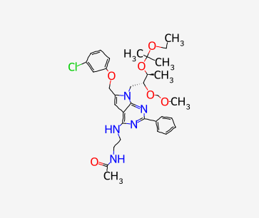 CCOC(C)(C)O[C@@H](C)[C@@H](Cn1c(COc2cccc(Cl)c2)cc2c(NCCNC(C)=O)nc(-c3ccccc3)nc21)OCOC